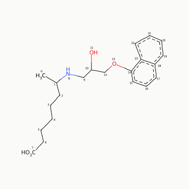 CC(CCCCCC(=O)O)NCC(O)COc1cccc2ccccc12